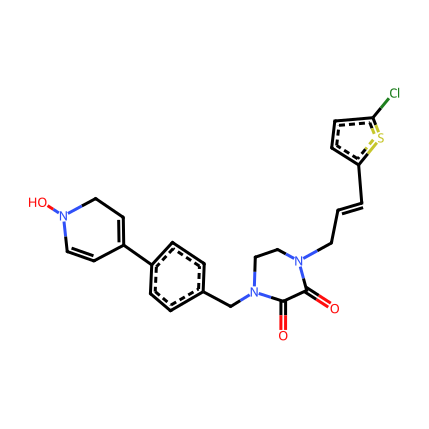 O=C1C(=O)N(Cc2ccc(C3=CCN(O)C=C3)cc2)CCN1CC=Cc1ccc(Cl)s1